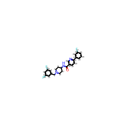 O=C(NC1CCN(Cc2cc(F)cc(F)c2)CC1)c1ccc(-c2cccc(F)c2)nc1